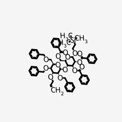 C=CCO[C@H]1[C@@H](OCc2ccccc2)[C@@H](COCc2ccccc2)O[C@@H](O[C@@H]2[C@H](OC(=O)c3ccccc3)[C@@H](OC(=O)c3ccccc3)[C@@H](OCC[Si](C)(C)C)O[C@@H]2COC(=O)c2ccccc2)[C@@H]1OCc1ccccc1